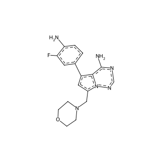 Nc1ccc(-c2cc(CN3CCOCC3)n3ncnc(N)c23)cc1F